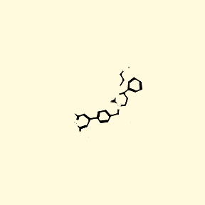 Cc1cc(-c2ccc([C@H](C)N3CC[C@](CCCO)(c4ccccc4)OC3=O)cc2)cc(C)n1